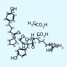 CC(=O)O.C[C@@](Cc1ccc(O)cc1)(NC(=O)[C@@H]1CCCN1C(=O)CCCc1ccc(O)cc1)C(=O)N[C@@H](CCCNC(=N)N)C(=O)O